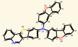 c1ccc2c(c1)ncc1c3ccc(N(c4ccc5oc6ccccc6c5c4)c4ccc5oc6ccccc6c5c4)cc3sc21